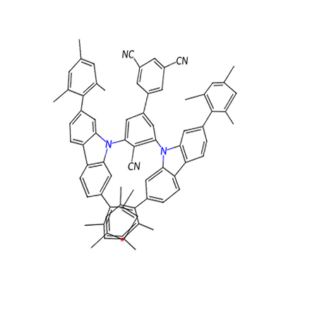 Cc1cc(C)c(-c2ccc3c4ccc(-c5c(C)cc(C)cc5C)cc4n(-c4cc(-c5cc(C#N)cc(C#N)c5)cc(-n5c6cc(-c7c(C)cc(C)cc7C)ccc6c6ccc(-c7c(C)cc(C)cc7C)cc65)c4C#N)c3c2)c(C)c1